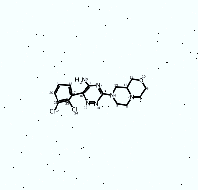 Nc1nc(N2CCN3CCOCC3C2)nnc1-c1cccc(Cl)c1Cl